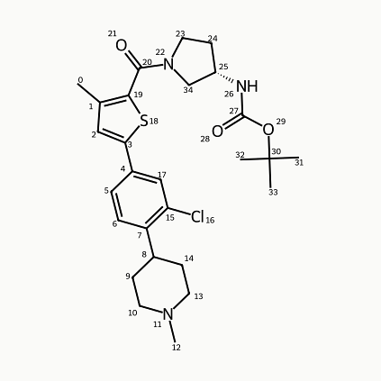 Cc1cc(-c2ccc(C3CCN(C)CC3)c(Cl)c2)sc1C(=O)N1CC[C@H](NC(=O)OC(C)(C)C)C1